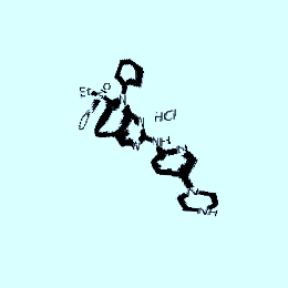 CCS(=O)(=O)c1cc2cnc(Nc3ccc(N4CCNCC4)cn3)nc2n1C1CCCC1.Cl